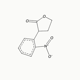 O=C1OCCC1c1ccccc1[N+](=O)[O-]